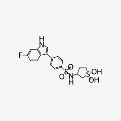 O=S(=O)(NC1CCS(O)(O)C1)c1ccc(-c2c[nH]c3cc(F)ccc23)cc1